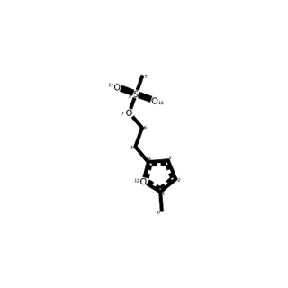 Cc1ccc(CCOS(C)(=O)=O)o1